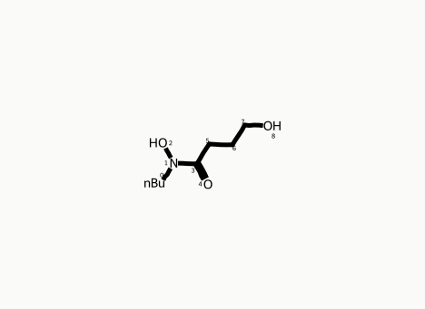 CCCCN(O)C(=O)CCCO